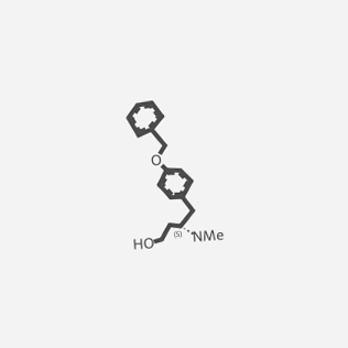 CN[C@H](CCO)Cc1ccc(OCc2ccccc2)cc1